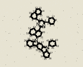 c1ccc(-c2cc(-c3cccc4ccccc34)nc(-c3ccc(-n4c5ccccc5c5cc6c7ccccc7n(-c7ccccc7)c6cc54)c4ccccc34)n2)cc1